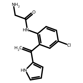 C=C(c1ccc[nH]1)c1cc(Cl)ccc1NC(=O)CN